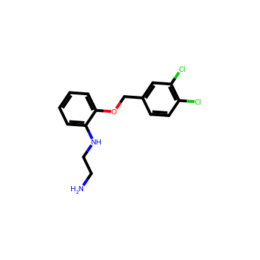 NCCNc1ccccc1OCc1ccc(Cl)c(Cl)c1